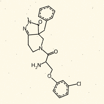 CN1N=C2CCN(C(=O)C(N)COc3cccc(Cl)c3)CC2(Cc2ccccc2)C1=O